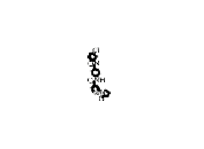 O=C(NC1CCC(c2nc3cc(Cl)ccc3o2)CC1)c1ccnc(N2CCCC2=O)c1